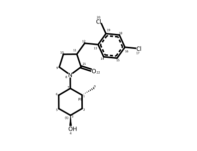 C[C@@H]1C[C@@H](O)CCC1N1CCC(Cc2ccc(Cl)cc2Cl)C1=O